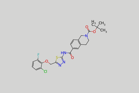 CC(C)(C)OC(=O)N1CCc2cc(C(=O)Nc3nnc(COc4c(F)cccc4Cl)s3)ccc2C1